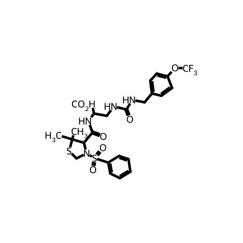 CC1(C)SCN(S(=O)(=O)c2ccccc2)C1C(=O)NC(CNC(=O)NCc1ccc(OC(F)(F)F)cc1)C(=O)O